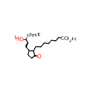 CCCCCC(O)C=CC1CCC(=O)C1CCCCCCCC(=O)O